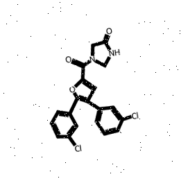 O=C1CN(C(=O)c2cc(-c3cccc(Cl)c3)c(-c3cccc(Cl)c3)o2)CN1